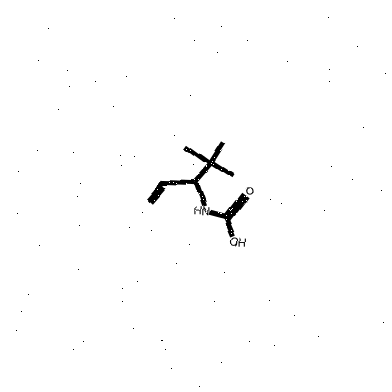 C=CC(NC(=O)O)C(C)(C)C